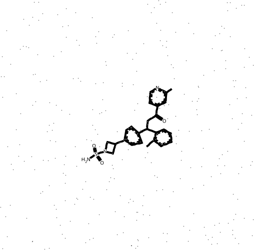 Cc1cc(C(=O)CC(c2ccc(C3CN(S(N)(=O)=O)C3)cc2)c2ccccc2C)ccn1